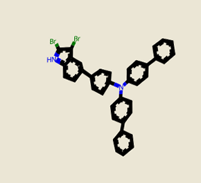 Brc1[nH]c2ccc(-c3ccc(N(c4ccc(-c5ccccc5)cc4)c4ccc(-c5ccccc5)cc4)cc3)cc2c1Br